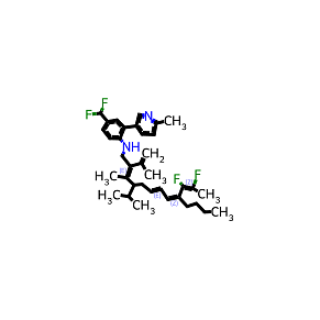 C=C(C)/C(CNc1ccc(C(F)F)cc1-c1ccc(C)nc1)=C(/C)C(C/C=C/C=C(CCCC)\C(F)=C(/C)F)C(C)C